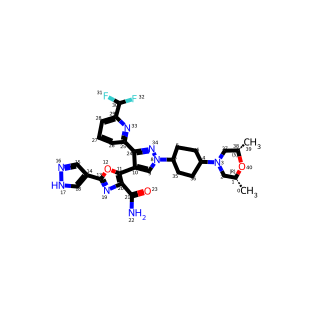 C[C@@H]1CN(C2CCC(n3cc(-c4oc(-c5cn[nH]c5)nc4C(N)=O)c(-c4cccc(C(F)F)n4)n3)CC2)C[C@H](C)O1